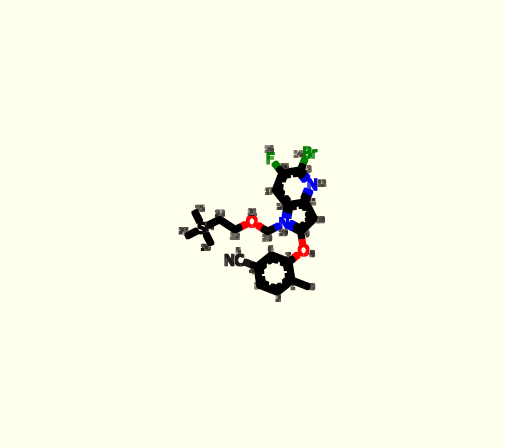 Cc1ccc(C#N)cc1Oc1cc2nc(Br)c(F)cc2n1COCC[Si](C)(C)C